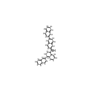 C1=CC2=C(c3ccc4ccccc4c3)CCC(Nc3ccc4cc(-c5ccc6ccccc6c5)ccc4c3)C2C=C1